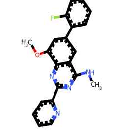 CNc1nc(-c2ccccn2)nc2c(OC)cc(-c3ccccc3F)cc12